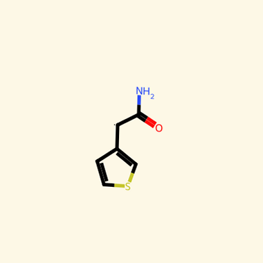 NC(=O)[CH]c1ccsc1